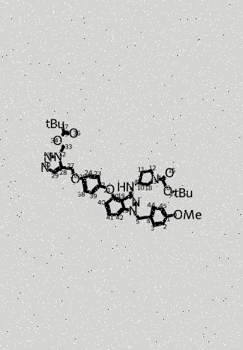 COc1ccc(Cn2nc(N[C@@H]3CCN(C(=O)OC(C)(C)C)C3)c3c(Oc4ccc(OCc5cnnn5COC(=O)C(C)(C)C)cc4)cccc32)cc1